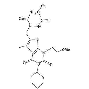 COCCn1c(=O)n(C2CCCCC2)c(=O)c2c(C)c(CN(NC(=O)OC(C)(C)C)C(N)=O)sc21